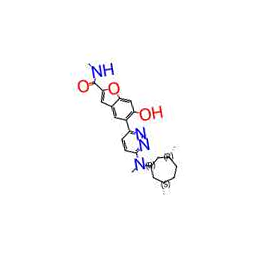 CNC(=O)c1cc2cc(-c3ccc(N(C)[C@H]4C[C@H](C)CC[C@H](C)C4)nn3)c(O)cc2o1